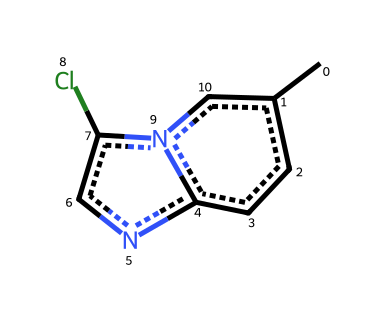 Cc1ccc2ncc(Cl)n2c1